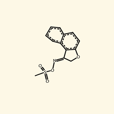 CS(=O)(=O)ON=C1COc2ccc3ccccc3c21